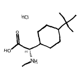 CN[C@H](C(=O)O)C1CCC(C(C)(C)C)CC1.Cl